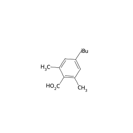 CCC(C)c1cc(C)c(C(=O)O)c(C)c1